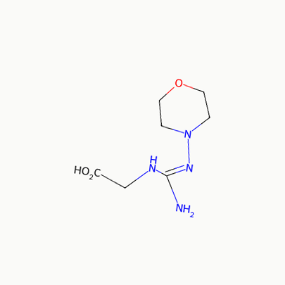 NC(=NN1CCOCC1)NCC(=O)O